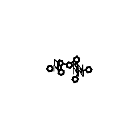 c1ccc(-c2nc(-c3ccccc3)nc(-n3c4ccccc4c4cc(-c5ccnc6c5c5ccccc5n6-c5ccccc5)ccc43)n2)cc1